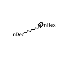 CCCCCCCCCCCCCCCCCC[n+]1cccc(CCCCCC)c1